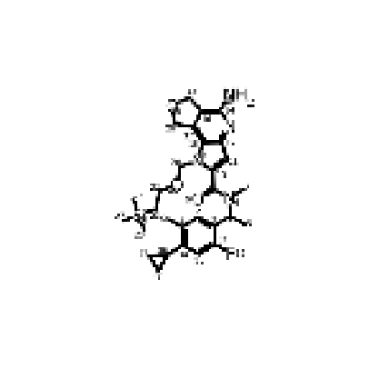 Cc1cc(C(C)N(C)C(=O)c2cc3nc(N)c4c(c3n2COCC[Si](C)(C)C)COC4)c(F)cc1C1CC1